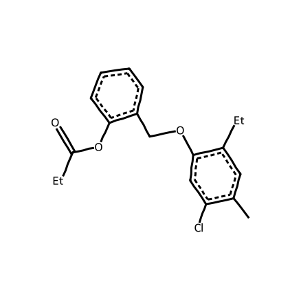 CCC(=O)Oc1ccccc1COc1cc(Cl)c(C)cc1CC